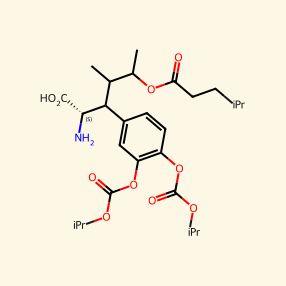 CC(C)CCC(=O)OC(C)C(C)C(c1ccc(OC(=O)OC(C)C)c(OC(=O)OC(C)C)c1)[C@H](N)C(=O)O